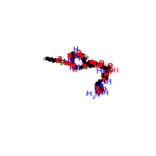 CCCCCCCC(=O)SCC/C=C/C1CC(=O)NCc2nc(c(-c3ccc(COC(=O)CC[C@H](NC(=O)c4ccc(NCc5cnc6nc(N)[nH]c(=O)c6n5)cc4)C(=O)O)cc3)s2)C2=N[C@@](C)(CS2)C(=O)N[C@@H](C(C)C)C(=O)N1